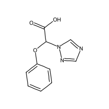 O=C(O)C(Oc1ccccc1)n1cncn1